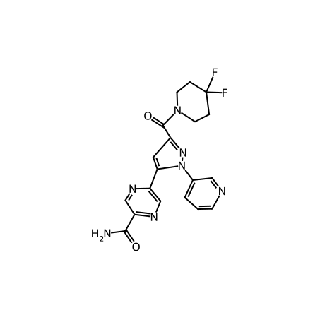 NC(=O)c1cnc(-c2cc(C(=O)N3CCC(F)(F)CC3)nn2-c2cccnc2)cn1